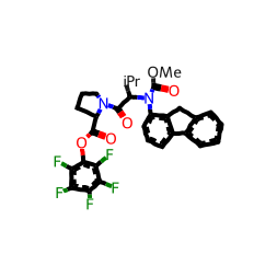 COC(=O)N(c1cccc2c1Cc1ccccc1-2)C(C(=O)N1CCCC1C(=O)Oc1c(F)c(F)c(F)c(F)c1F)C(C)C